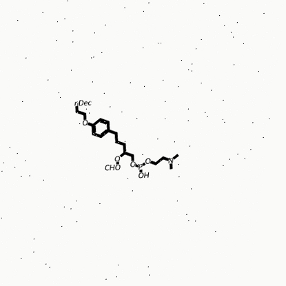 CCCCCCCCCCCCOc1ccc(CCCC(COP(O)OCCN(C)C)OC=O)cc1